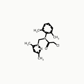 Cc1cc(C)n(CN(C(=O)CCl)c2c(C)cccc2C)n1